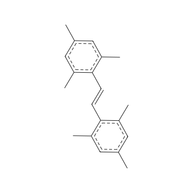 Cc1cc(C)c(C=Cc2c(C)cc(C)cc2C)c(C)c1